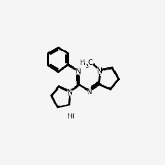 CN1CCC/C1=N/C(=N/c1ccccc1)N1CCCC1.I